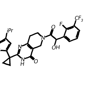 CC(C)c1csc(C2(c3nc4c(c(=O)[nH]3)CN(C(=O)C(O)c3cccc(C(F)(F)F)c3F)CC4)CC2)c1